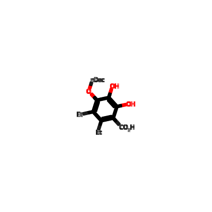 CCCCCCCCCCOc1c(O)c(O)c(C(=O)O)c(CC)c1CC